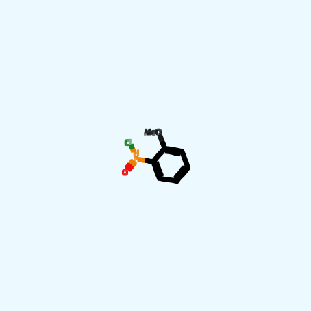 COc1ccccc1[PH](=O)Cl